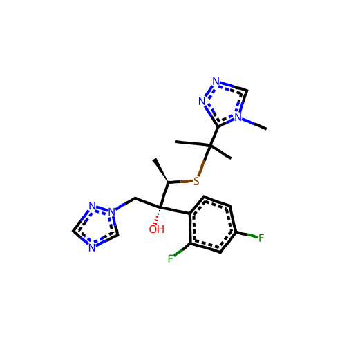 C[C@@H](SC(C)(C)c1nncn1C)[C@](O)(Cn1cncn1)c1ccc(F)cc1F